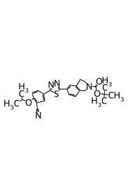 CC(C)Oc1ccc(-c2nnc(-c3ccc4c(c3)CCN(C(=O)OC(C)(C)C)C4)s2)cc1C#N